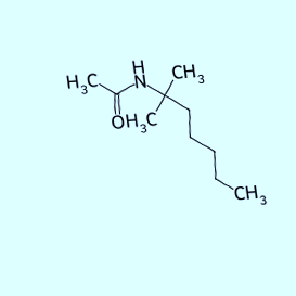 CCCCCC(C)(C)NC(C)=O